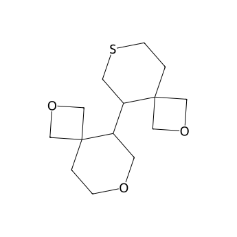 C1CC2(COC2)C(C2CSCCC23COC3)CO1